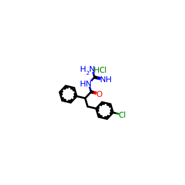 Cl.N=C(N)NC(=O)C(Cc1ccc(Cl)cc1)c1ccccc1